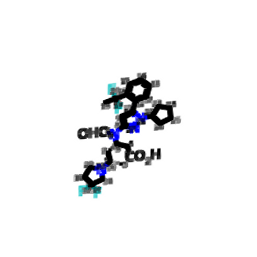 C[C@@H](C[C@@H](CC(=O)O)N(C=O)c1cc(-c2ccccc2C(C)(F)F)n(C2CCCC2)n1)N1CCC(F)(F)C1